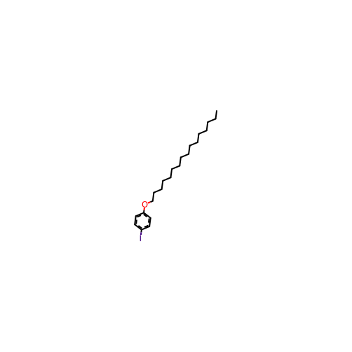 CCCCCCCCCCCCCCCCOc1ccc(I)cc1